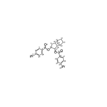 CC(C)c1ccc(C(=O)OC2CC3C4CCC(C4)C3C2OC(=O)c2ccc(C(C)C)cc2)cc1